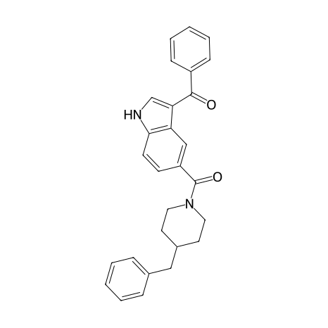 O=C(c1ccccc1)c1c[nH]c2ccc(C(=O)N3CCC(Cc4ccccc4)CC3)cc12